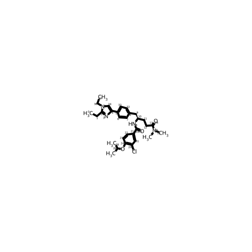 CCc1nc(-c2ccc(C[C@@H](CCC(=O)N(C)C)NC(=O)c3ccc(OC(C)C)c(Cl)c3)cc2)cn1CC